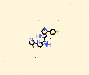 Cc1ccncc1-c1ccc2[nH]nc(-c3cc4c(-c5ccc(F)cc5)nccc4[nH]3)c2n1